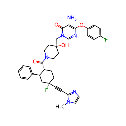 Cn1ccnc1C#C[C@]1(F)CC[C@@H](C(=O)N2CCC(O)(Cn3cnc(Oc4ccc(F)cc4)c(N)c3=O)CC2)[C@H](c2ccccc2)C1